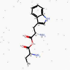 CC(C)C[C@H](N)C(=O)OC(=O)[C@@H](N)Cc1c[nH]c2ccccc12